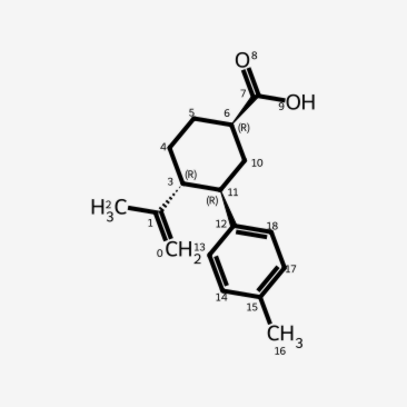 C=C(C)[C@@H]1CC[C@@H](C(=O)O)C[C@H]1c1ccc(C)cc1